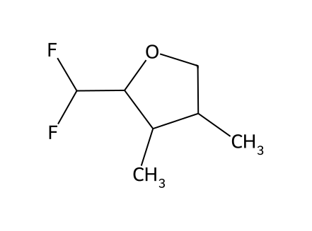 CC1COC(C(F)F)C1C